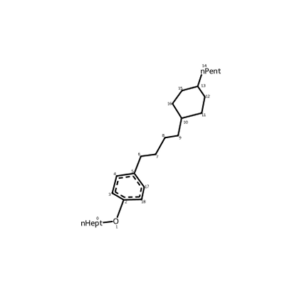 CCCCCCCOc1ccc(CCCCC2CCC(CCCCC)CC2)cc1